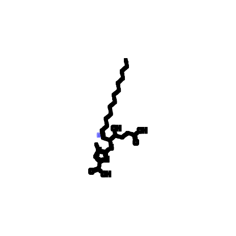 CCCCCCCCCCCC/C=C\C(Sc1nc(C(=O)O)cn1C)C(O)CCC(=O)O